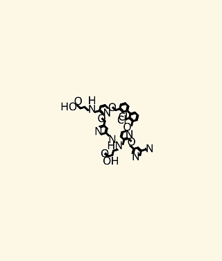 N#Cc1cncc(COc2nc(OCc3cccc(-c4cccc(COc5ccc(CNCCCC(=O)O)c(OCc6cncc(C#N)c6)n5)c4Cl)c3Cl)ccc2CNCCCC(=O)O)c1